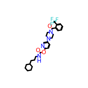 O=C(NCCCC1CCCCC1)Oc1ccc(N2CCN(C(=O)c3ccccc3C(F)(F)F)CC2)cn1